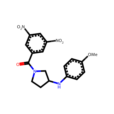 COc1ccc(NC2CCN(C(=O)c3cc([N+](=O)[O-])cc([N+](=O)[O-])c3)C2)cc1